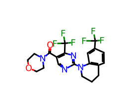 O=C(c1cnc(N2CCCc3ccc(C(F)(F)F)cc32)nc1C(F)(F)F)N1CCOCC1